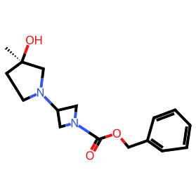 C[C@@]1(O)CCN(C2CN(C(=O)OCc3ccccc3)C2)C1